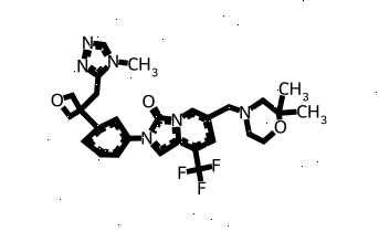 Cn1cnnc1CC1(c2cccc(-n3cc4c(C(F)(F)F)cc(CN5CCOC(C)(C)C5)cn4c3=O)c2)COC1